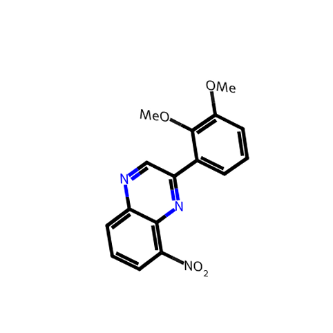 COc1cccc(-c2cnc3cccc([N+](=O)[O-])c3n2)c1OC